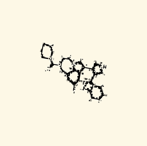 O=C(N1CCCCC1)N1CCn2cc(-c3c[nH]cc3-c3nnc4ccccn34)c3cc(F)cc(c32)C1